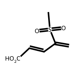 C=C(C=CC(=O)O)S(C)(=O)=O